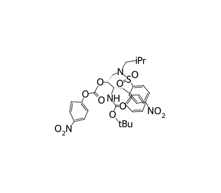 CC(C)CN(C[C@@H](OC(=O)Oc1ccc([N+](=O)[O-])cc1)[C@H](Cc1ccccc1)NC(=O)OC(C)(C)C)S(=O)(=O)c1ccc([N+](=O)[O-])cc1